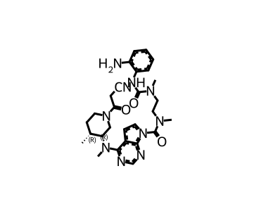 C[C@@H]1CCN(C(=O)CC#N)C[C@@H]1N(C)c1ncnc2c1ccn2C(=O)N(C)CCN(C)C(=O)Nc1ccccc1N